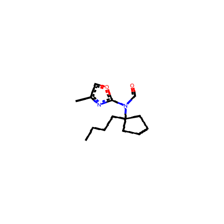 CCCCC1(N(C=O)c2nc(C)co2)CCCC1